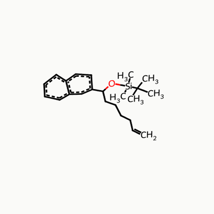 C=CCCCCC(O[Si](C)(C)C(C)(C)C)c1ccc2ccccc2c1